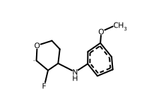 COc1cccc(NC2CCO[CH]C2F)c1